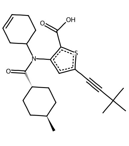 CC(C)(C)C#Cc1cc(N(C(=O)[C@H]2CC[C@H](C)CC2)C2CC=CCC2)c(C(=O)O)s1